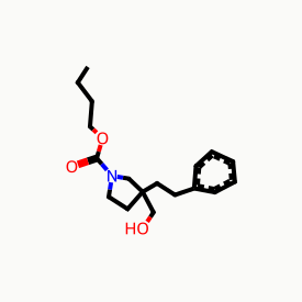 CCCCOC(=O)N1CCC(CO)(CCc2ccccc2)C1